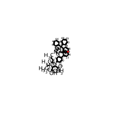 CCCC1(C)N(CC)C(C(C)(C)O)=C(C(=O)O)N1c1ccc(-c2ccccc2-c2nnnn2C(c2ccccc2)(c2ccccc2)c2ccccc2)cc1